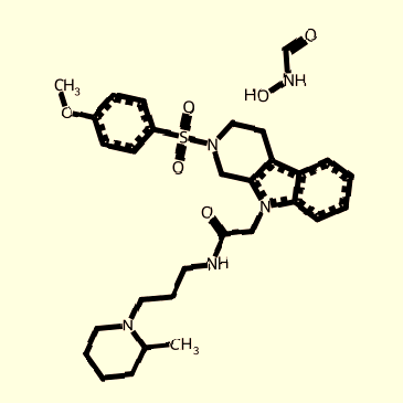 COc1ccc(S(=O)(=O)N2CCc3c(n(CC(=O)NCCCN4CCCCC4C)c4ccccc34)C2)cc1.O=CNO